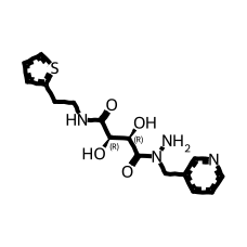 NN(Cc1cccnc1)C(=O)[C@H](O)[C@@H](O)C(=O)NCCc1cccs1